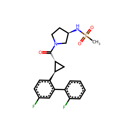 CS(=O)(=O)N[C@@H]1CCN(C(=O)[C@@H]2C[C@H]2c2ccc(F)cc2-c2ccccc2F)C1